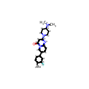 CCC(C)c1ccc(-c2ccc3nc(N4CCC(N(C)C)CC4)cc(=O)n3c2)cc1F